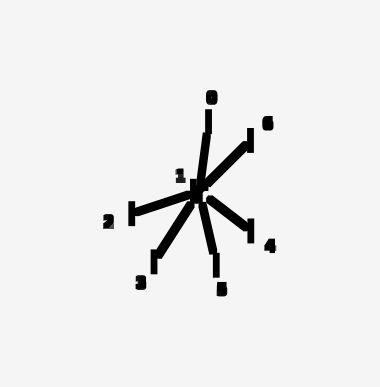 [I][Ir]([I])([I])([I])([I])[I]